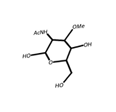 COC1C(O)C(CO)OC(O)C1NC(C)=O